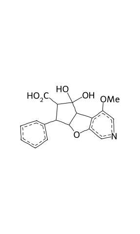 COc1cncc2c1C1C(O2)C(c2ccccc2)C(C(=O)O)C1(O)O